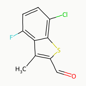 Cc1c(C=O)sc2c(Cl)ccc(F)c12